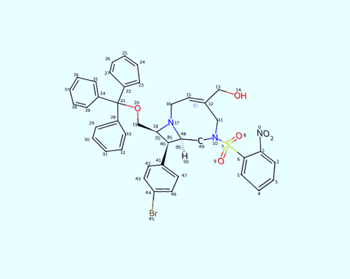 O=[N+]([O-])c1ccccc1S(=O)(=O)N1C/C(CO)=C\CN2[C@H](COC(c3ccccc3)(c3ccccc3)c3ccccc3)[C@H](c3ccc(Br)cc3)[C@@H]2C1